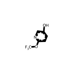 Oc1ccc(OC(F)(F)F)nc1